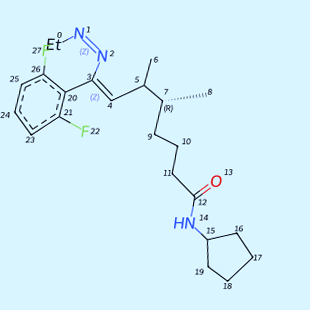 CC/N=N\C(=C/C(C)[C@H](C)CCCC(=O)NC1CCCC1)c1c(F)cccc1F